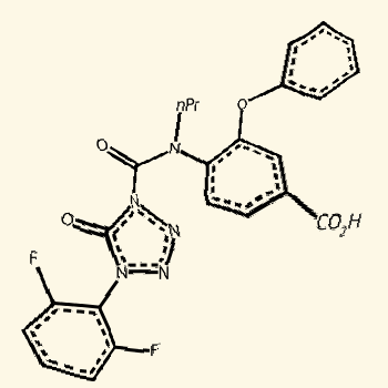 CCCN(C(=O)n1nnn(-c2c(F)cccc2F)c1=O)c1ccc(C(=O)O)cc1Oc1ccccc1